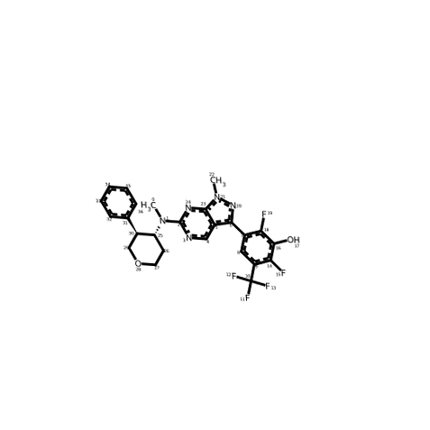 CN(c1ncc2c(-c3cc(C(F)(F)F)c(F)c(O)c3F)nn(C)c2n1)[C@@H]1CCOC[C@H]1c1ccccc1